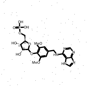 COc1cc(CNc2ncnc3nc[nH]c23)cc(OC)c1OC1O[C@H](COP(=O)(O)O)[C@@H](O)[C@H]1O